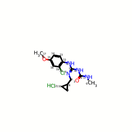 CNC(=O)NC(=NCC1CC1)Nc1ccc(OC)cc1Cl.Cl